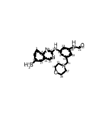 Bc1ccc2nc(Nc3cc(CN4CCOCC4)cc(NC=O)c3)ncc2c1